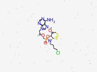 CO[C@@H]1CSSCC1OP(=O)(CO[C@H](C)Cn1cnc2c(N)ncnc21)N(C)CCCCCl